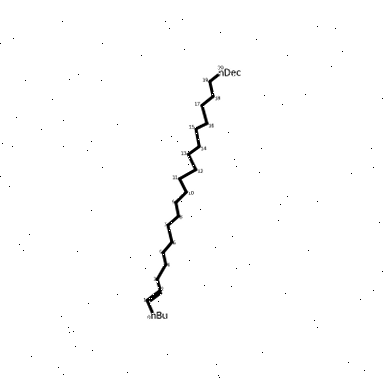 CCCCC=CCCCCCCCCCCCCCCCCCCCCCCCCCCC